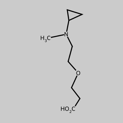 CN(CCOCCC(=O)O)C1CC1